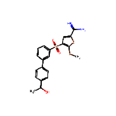 CSc1sc(C(=N)N)cc1S(=O)(=O)c1cccc(-c2ccc(C(C)O)cc2)c1